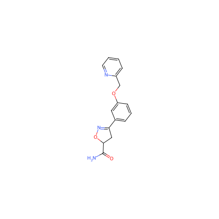 NC(=O)C1CC(c2cccc(OCc3ccccn3)c2)=NO1